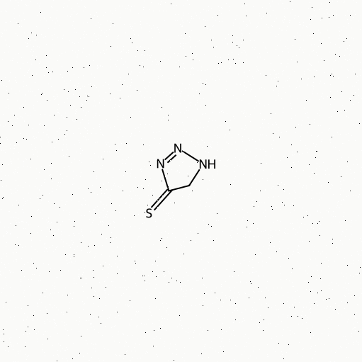 S=C1CNN=N1